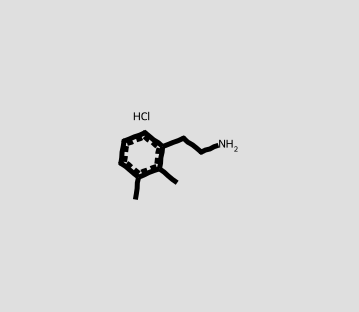 Cc1cccc(CCN)c1C.Cl